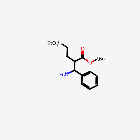 CCOC(=O)CCC(C(=O)OC(C)(C)C)C(N)c1ccccc1